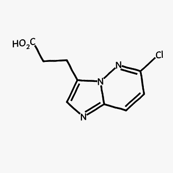 O=C(O)CCc1cnc2ccc(Cl)nn12